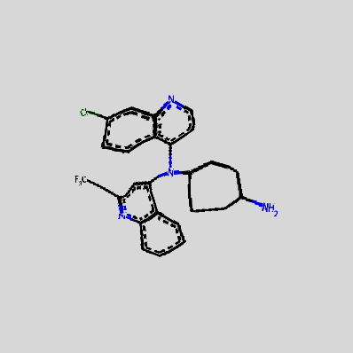 NC1CCC(N(c2ccnc3cc(Cl)ccc23)c2cc(C(F)(F)F)nc3ccccc23)CC1